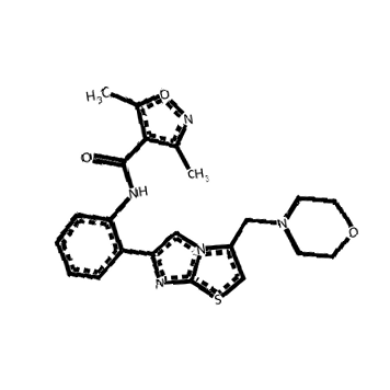 Cc1noc(C)c1C(=O)Nc1ccccc1-c1cn2c(CN3CCOCC3)csc2n1